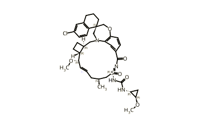 CO[C@H]1/C=C/C[C@H](C)C[S@@](=O)(NC(=O)N[C@@H]2C[C@H]2OC)=NC(=O)c2ccc3c(c2)N(C[C@@H]2CC[C@H]21)C[C@@]1(CCCc2cc(Cl)ccc21)CO3